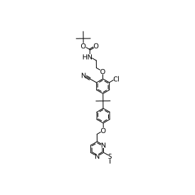 CSc1nccc(COc2ccc(C(C)(C)c3cc(Cl)c(OCCNC(=O)OC(C)(C)C)c(C#N)c3)cc2)n1